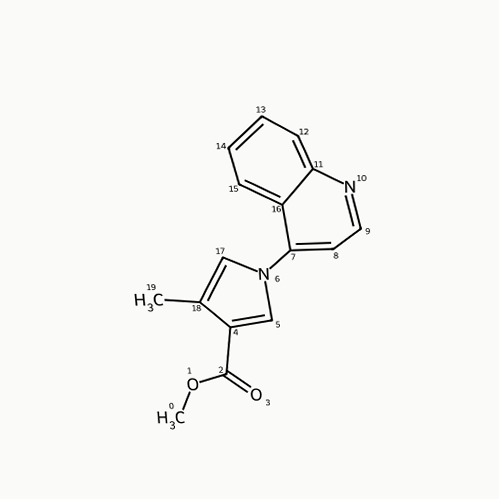 COC(=O)c1cn(-c2ccnc3ccccc23)cc1C